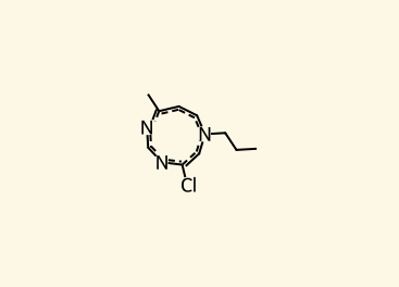 CCCn1ccc(C)ncnc(Cl)c1